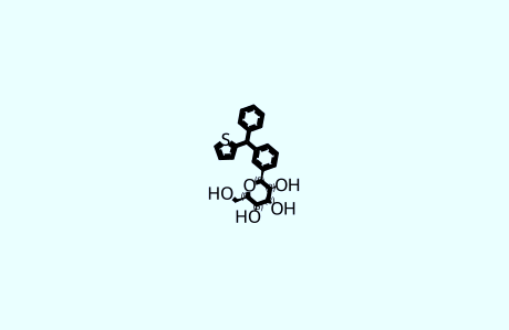 OC[C@H]1O[C@@H](c2cccc(C(c3ccccc3)c3cccs3)c2)[C@H](O)[C@@H](O)[C@@H]1O